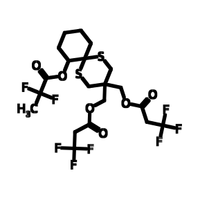 CC(F)(F)C(=O)OC1CCCCC12SCC(COC(=O)CC(F)(F)F)(COC(=O)CC(F)(F)F)CS2